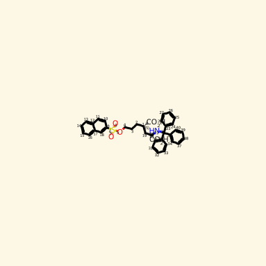 O=C(O)[C@@H](CCCOS(=O)(=O)c1ccc2ccccc2c1)C[C@@H](NC(c1ccccc1)(c1ccccc1)c1ccccc1)C(=O)O